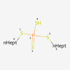 CCCCCCCSP(=S)(S)SCCCCCCC